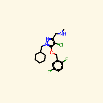 CNCc1nn(CC2CCCCC2)c(OCc2cc(F)ccc2F)c1Cl